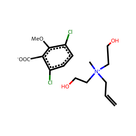 C=CC[N+](C)(CCO)CCO.COc1c(Cl)ccc(Cl)c1C(=O)[O-]